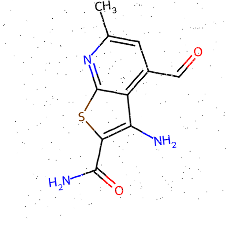 Cc1cc(C=O)c2c(N)c(C(N)=O)sc2n1